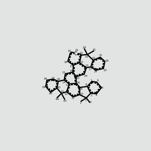 CC1(C)c2ccccc2-c2c1cc1c3c(cc4c5cccc6c5c(cc4c23)-c2ccccc2C6(C)C)-c2ccccc2C1(C)C